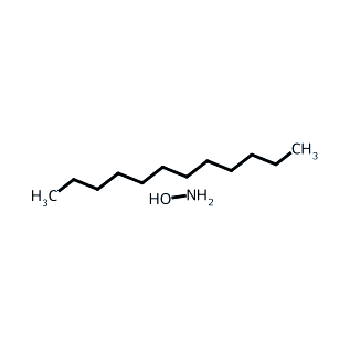 CCCCCCCCCCCC.NO